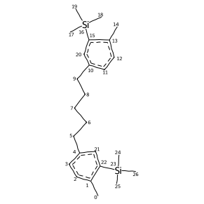 Cc1ccc(CCCCCc2ccc(C)c([Si](C)(C)C)c2)cc1[Si](C)(C)C